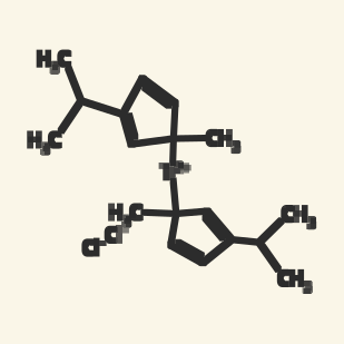 CC(C)C1=C[C](C)([Ti+2][C]2(C)C=CC(C(C)C)=C2)C=C1.[Cl-].[Cl-]